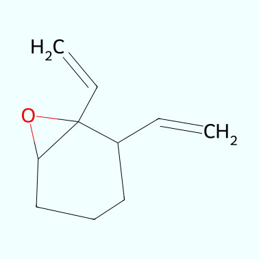 C=CC1CCCC2OC12C=C